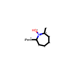 CCCC(C)C1CCCCC(C)N1O